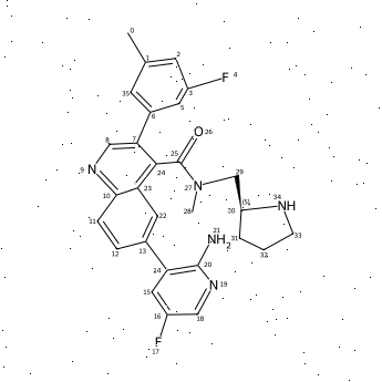 Cc1cc(F)cc(-c2cnc3ccc(-c4cc(F)cnc4N)cc3c2C(=O)N(C)C[C@@H]2CCCN2)c1